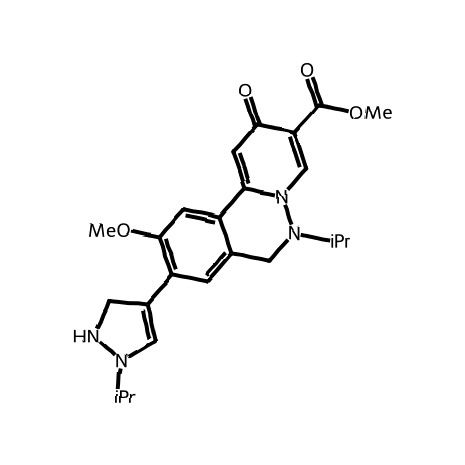 COC(=O)c1cn2c(cc1=O)-c1cc(OC)c(C3=CN(C(C)C)NC3)cc1CN2C(C)C